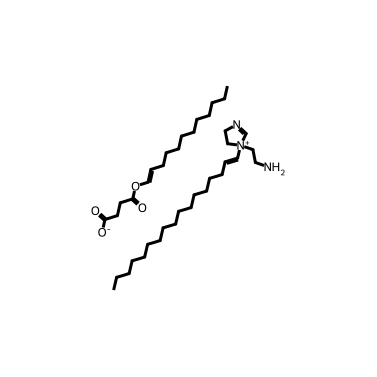 CCCCCCCCCCC=COC(=O)CCC(=O)[O-].CCCCCCCCCCCCCCCC=C[N+]1(CCN)C=NCC1